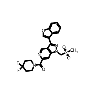 CS(=O)(=O)Cn1nc(-c2coc3ccccc23)c2cnc(C(=O)N3CCC(F)(F)CC3)cc21